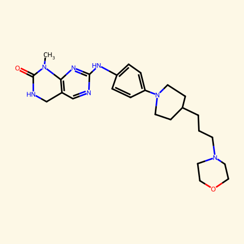 CN1C(=O)NCc2cnc(Nc3ccc(N4CCC(CCCN5CCOCC5)CC4)cc3)nc21